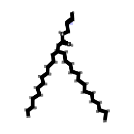 C/C=C/COC(=O)CC(CCCCCCCCCCCC)CCCCCCCCCCCCCC